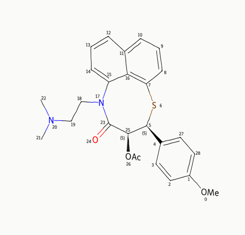 COc1ccc([C@@H]2Sc3cccc4cccc(c34)N(CCN(C)C)C(=O)[C@@H]2OC(C)=O)cc1